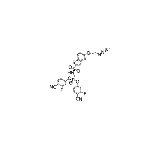 N#Cc1ccc(OP(=O)(CNS(=O)(=O)c2cc3cc(OCCN=[N+]=[N-])ccc3s2)Oc2ccc(C#N)c(F)c2)cc1F